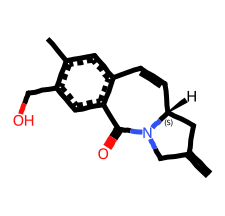 C=C1C[C@H]2C=Cc3cc(C)c(CO)cc3C(=O)N2C1